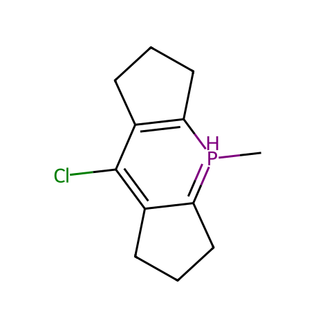 C[PH]1=C2CCCC2=C(Cl)C2=C1CCC2